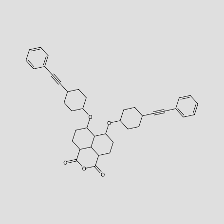 O=C1OC(=O)C2CCC(OC3CCC(C#Cc4ccccc4)CC3)C3C(OC4CCC(C#Cc5ccccc5)CC4)CCC1C23